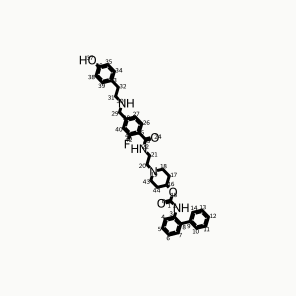 O=C(Nc1ccccc1-c1ccccc1)OC1CCN(CCNC(=O)c2ccc(CNCCc3ccc(O)cc3)cc2F)CC1